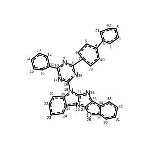 c1ccc(-c2ccc(-c3nc(-c4ccccc4)nc(-n4c5ccccc5n5c6oc7ccccc7c6nc45)n3)cc2)cc1